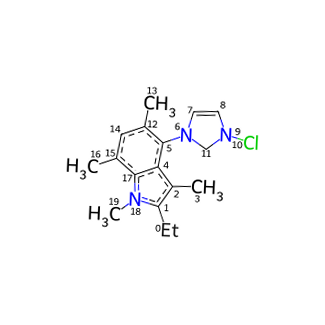 CCc1c(C)c2c(N3C=CN(Cl)C3)c(C)cc(C)c2n1C